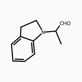 CC(C=O)N1CCc2ccccc21